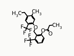 CCC(=O)Oc1cccc(C(F)(F)F)c1COc1cc(C)c(CC)cc1C(F)(F)F